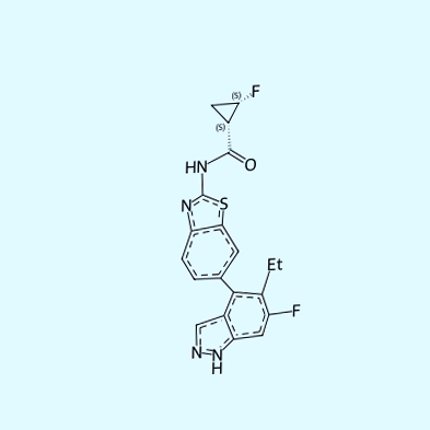 CCc1c(F)cc2[nH]ncc2c1-c1ccc2nc(NC(=O)[C@@H]3C[C@@H]3F)sc2c1